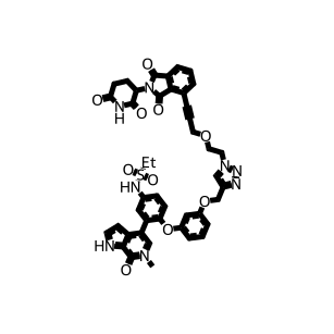 CCS(=O)(=O)Nc1ccc(Oc2cccc(OCc3cn(CCOCC#Cc4cccc5c4C(=O)N(C4CCC(=O)NC4=O)C5=O)nn3)c2)c(-c2cn(C)c(=O)c3[nH]ccc23)c1